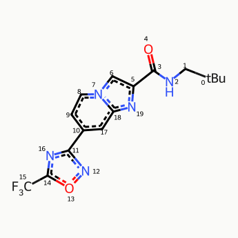 CC(C)(C)CNC(=O)c1cn2ccc(-c3noc(C(F)(F)F)n3)cc2n1